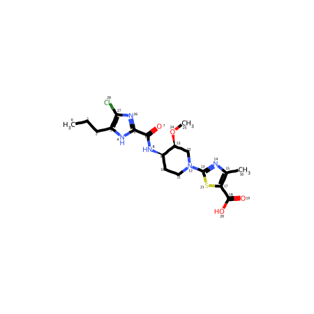 CCCc1[nH]c(C(=O)N[C@@H]2CCN(c3nc(C)c(C(=O)O)s3)C[C@@H]2OC)nc1Cl